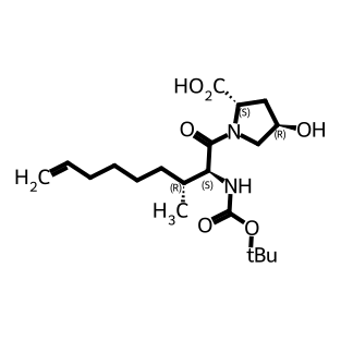 C=CCCCC[C@@H](C)[C@H](NC(=O)OC(C)(C)C)C(=O)N1C[C@H](O)C[C@H]1C(=O)O